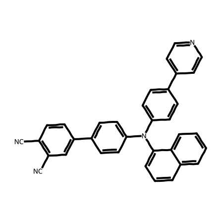 N#Cc1ccc(-c2ccc(N(c3ccc(-c4ccncc4)cc3)c3cccc4ccccc34)cc2)cc1C#N